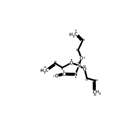 C=CCO[Si](N=C=O)(OCC=C)OCC=C